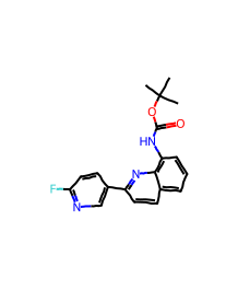 CC(C)(C)OC(=O)Nc1cccc2ccc(-c3ccc(F)nc3)nc12